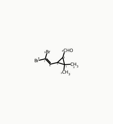 CC1(C)C(C=O)C1C=C(Br)Br